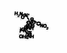 CC(F)O/N=C(\C(=O)N[C@@H]1C(=O)N2C(C(=O)OCc3ccc([N+](=O)[O-])cc3)=C(/C=C/C[N+](C)(C)CC(N)=O)CS[C@@H]12)c1csc(NC=O)n1